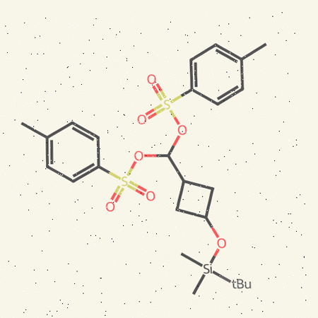 Cc1ccc(S(=O)(=O)OC(OS(=O)(=O)c2ccc(C)cc2)C2CC(O[Si](C)(C)C(C)(C)C)C2)cc1